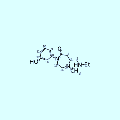 CCNCC1CC(=O)N(c2cccc(O)c2)CCN1C